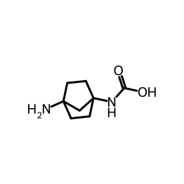 NC12CCC(NC(=O)O)(CC1)C2